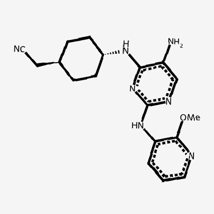 COc1ncccc1Nc1ncc(N)c(N[C@H]2CC[C@H](CC#N)CC2)n1